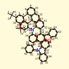 CC(C)(C)c1cc(-c2cccc3cccc(-c4ccccc4N(c4cccc(-c5cccc6c7ccccc7n(-c7ccccc7)c56)c4)c4ccccc4-c4cccc5oc6ccccc6c45)c23)cc(C(C)(C)C)c1